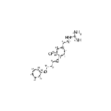 N=C(N)NN=Cc1ccc(OCCCOc2ccccc2)c(Cl)c1